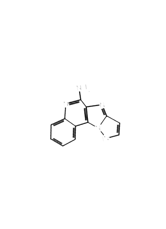 Nc1nc2ccccc2c2c1nc1cc[nH]n12